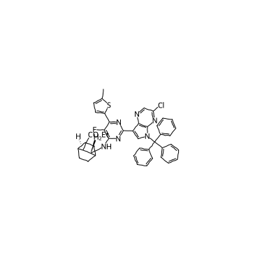 CCOC(=O)[C@@H]1C2CCC(CC2)[C@H]1Nc1nc(-c2cn(C(c3ccccc3)(c3ccccc3)c3ccccc3)c3nc(Cl)cnc23)nc(-c2ccc(C)s2)c1F